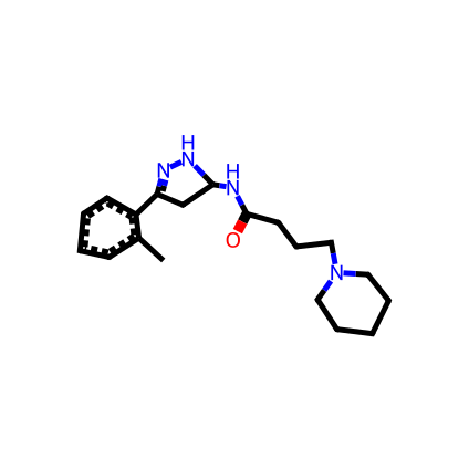 Cc1ccccc1C1=NNC(NC(=O)CCCN2CCCCC2)C1